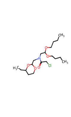 CCCCOC(CN(CC1OCCC(CC)O1)C(=O)CCl)OCCCC